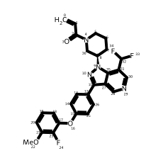 C=CC(=O)N1CCC[C@@H](n2nc(-c3ccc(Oc4cccc(OC)c4F)cc3)c3cncc(C(F)F)c32)C1